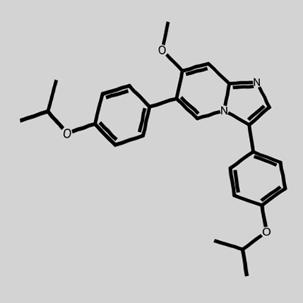 COc1cc2ncc(-c3ccc(OC(C)C)cc3)n2cc1-c1ccc(OC(C)C)cc1